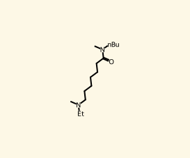 CCCCN(C)C(=O)CCCCCCN(C)CC